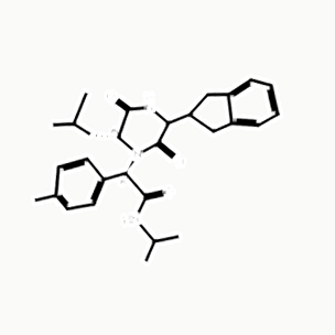 Cc1ccc([C@H](C(=O)NC(C)C)N2C(=O)C(C3Cc4ccccc4C3)NC(=O)[C@H]2CC(C)C)cc1